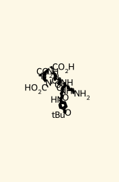 CC(C)(C)C(=O)c1ccc(NC(=O)CNC(=O)[C@H](CCCCN)NC(=O)CN2CCN(CC(=O)O)CCN(CC(=O)O)CCN(CC(=O)O)CC2)cc1